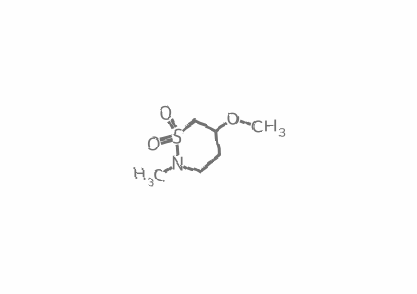 COC1CCN(C)S(=O)(=O)C1